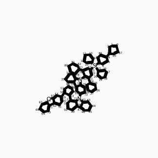 c1ccc(-c2ccc([Si](c3ccccc3)(c3ccccc3)c3cc(-c4ccccc4)c(-n4c5ccccc5c5cc(-n6c7ccccc7c7cccc(-c8ccccc8-c8ccc9c(c8)oc8ccccc89)c76)ccc54)c(-c4ccccc4)c3)cc2)cc1